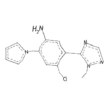 Cn1ncnc1-c1cc(N)c(-n2cccc2)cc1Cl